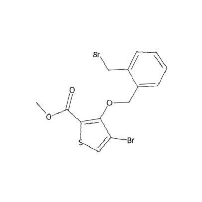 COC(=O)c1scc(Br)c1OCc1ccccc1CBr